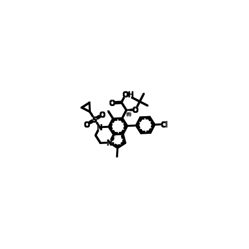 Cc1c([C@H](OC(C)(C)C)C(=O)O)c(-c2ccc(Cl)cc2)c2cc(C)n3c2c1N(S(=O)(=O)C1CC1)CC3